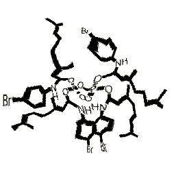 CC(C)=CCC/C(C)=C/C(Nc1ccc(Br)cc1)OP(=O)(OC(/C=C(\C)CCC=C(C)C)Nc1ccc(Br)cc1)OP(=O)(OC(/C=C(\C)CCC=C(C)C)Nc1ccc(Br)cc1)OC(/C=C(\C)CCC=C(C)C)Nc1ccc(Br)cc1